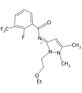 CCOCCn1/c(=N/C(=O)c2cccc(C(F)(F)F)c2F)cc(C)n1C